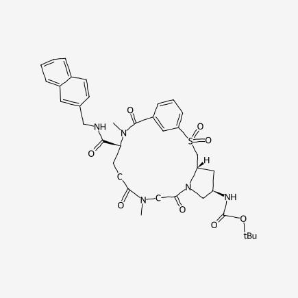 CN1CC(=O)N2C[C@H](NC(=O)OC(C)(C)C)C[C@H]2CS(=O)(=O)c2cccc(c2)C(=O)N(C)[C@H](C(=O)NCc2ccc3ccccc3c2)CCC1=O